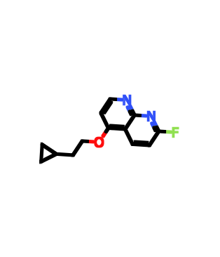 Fc1ccc2c(OCCC3CC3)ccnc2n1